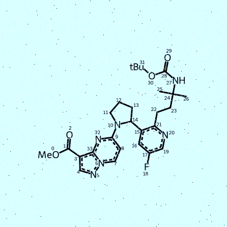 COC(=O)c1cnn2ccc(N3CCCC3c3cc(F)cnc3CCC(C)(C)NC(=O)OC(C)(C)C)nc12